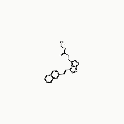 CCOC(=O)CCc1csc2ncc(/C=C/c3ccc4ccccc4c3)n12